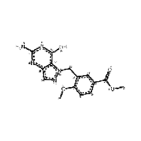 COC(=O)c1ccc(OC)c(Cn2ncc3nc(N)nc(O)c32)c1